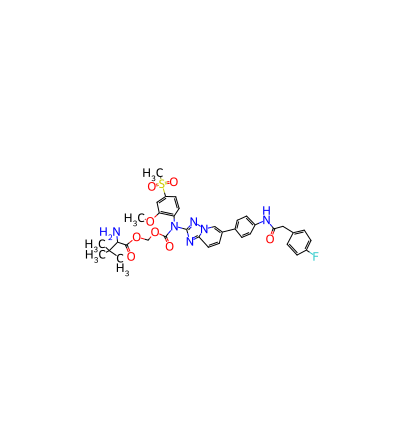 COc1cc(S(C)(=O)=O)ccc1N(C(=O)OCOC(=O)C(N)C(C)(C)C)c1nc2ccc(-c3ccc(NC(=O)Cc4ccc(F)cc4)cc3)cn2n1